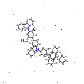 Cc1cc(-n2c3ccccc3c3ccccc32)c(C)cc1-c1ccc2c(c1)c1ccccc1n2-c1ccc(-c2c3ccccc3c(-c3ccccc3)c3ccccc23)cc1